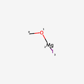 C[O][Mg][I]